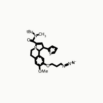 COc1cc2c(cc1OCCCN=[N+]=[N-])C1C(c3cccs3)C=C(C(=O)N(C)C(C)(C)C)N1CC2